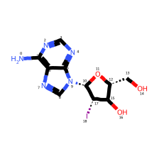 Nc1ncnc2c1ncn2[C@@H]1O[C@H](CO)C(O)[C@@H]1I